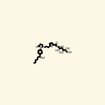 CCCCC[C@H](O)c1ccc(N2C(=O)CC[C@@H]2CCCc2ccc(C(=O)OC[C@H](O)[C@@H](O)[C@H](O)[C@@H](O)CO)s2)cc1